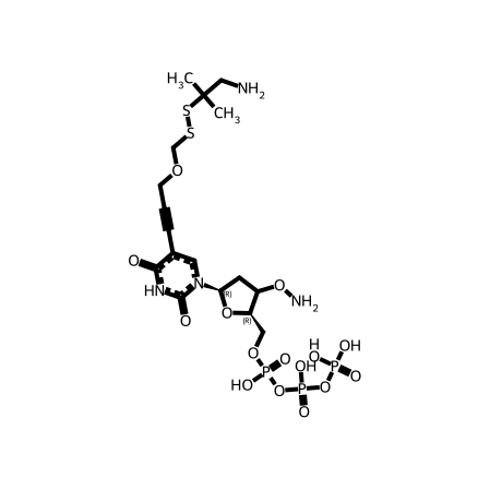 CC(C)(CN)SSCOCC#Cc1cn([C@H]2CC(ON)[C@@H](COP(=O)(O)OP(=O)(O)OP(=O)(O)O)O2)c(=O)[nH]c1=O